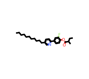 CCCCCCCCCCCc1ccc(-c2ccc(OC(=O)C(C)CC)c(F)c2)nc1